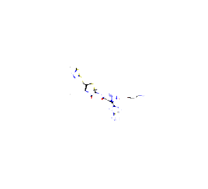 Cc1nnc(SCC2=C(C(=O)O)N3C(=O)C(NC(=O)C(=NOCCCN)c4nsc(N)n4)[C@@H]3SC2)s1